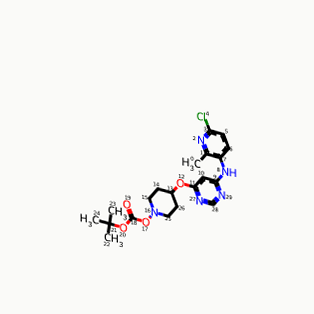 Cc1nc(Cl)ccc1Nc1cc(OC2CCN(OC(=O)OC(C)(C)C)CC2)ncn1